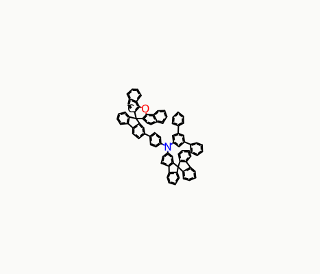 c1ccc(-c2cc(-c3ccccc3)cc(N(c3ccc(-c4ccc5c(c4)C4(c6ccccc6-5)c5ccc6ccccc6c5Oc5c4ccc4ccccc54)cc3)c3ccc4c(c3)C3(c5ccccc5-c5ccccc53)c3ccccc3-4)c2)cc1